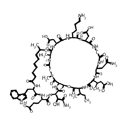 CCC(C)C1NC(=O)C(C(C)CC(=O)O)NC(=O)C(CC(N)=O)NC(=O)CNC(=O)C(CC(=O)O)NC(=O)C(CCCCN)NC(=O)C(CC(=O)O)NC(=O)C(C)NC(=O)CN(C)C(=O)C(NC(=O)C(NC(=O)C(CCC(=O)O)NC(=O)C(Cc2c[nH]c3ccccc23)NC(=O)CCCCCCC(C)C)C(O)C(N)=O)C(C)OC1=O